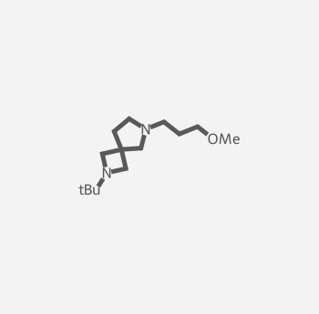 COCCCN1CCC2(C1)CN(C(C)(C)C)C2